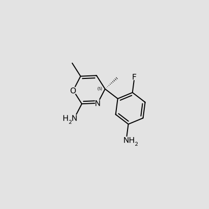 CC1=C[C@@](C)(c2cc(N)ccc2F)N=C(N)O1